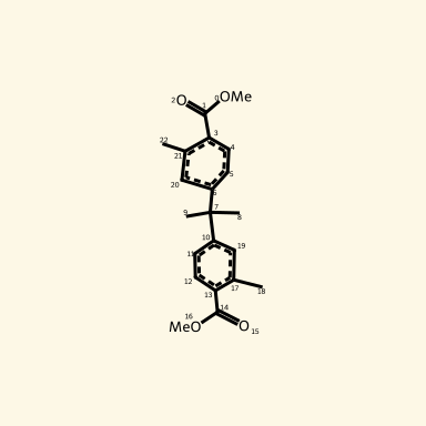 COC(=O)c1ccc(C(C)(C)c2ccc(C(=O)OC)c(C)c2)cc1C